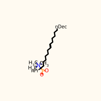 CCCCCCCCCCCCCCCC=CCCCCCCC(CCC)(P(=O)=O)[N+](C)(C)C